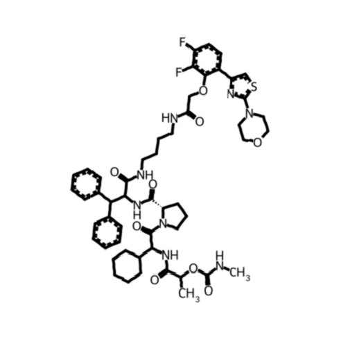 CNC(=O)OC(C)C(=O)NC(C(=O)N1CCC[C@H]1C(=O)NC(C(=O)NCCCCNC(=O)COc1c(-c2csc(N3CCOCC3)n2)ccc(F)c1F)C(c1ccccc1)c1ccccc1)C1CCCCC1